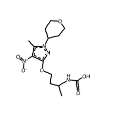 Cc1c([N+](=O)[O-])c(OCCC(C)NC(=O)O)nn1C1CCOCC1